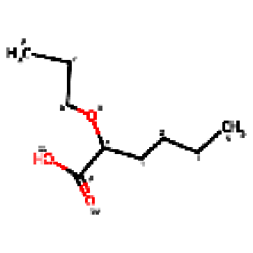 CCCCC(OCCC)C(=O)O